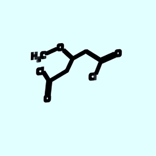 COC(CC(=O)Cl)CC(=O)Cl